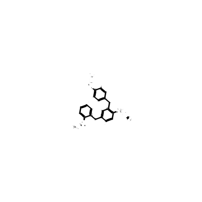 O=C=Nc1ccc(Cc2cc(Cc3ccccc3N=C=O)ccc2N=C=O)cc1